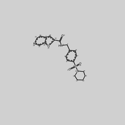 O=C(NCc1ccc(S(=O)(=O)N2CCCCC2)cc1)c1cc2ccncc2o1